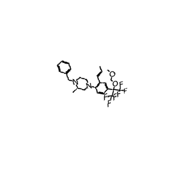 CC=Cc1cc(C(OCOC)(C(F)(F)F)C(F)(F)F)ccc1N1CCN(Cc2ccccc2)[C@H](C)C1